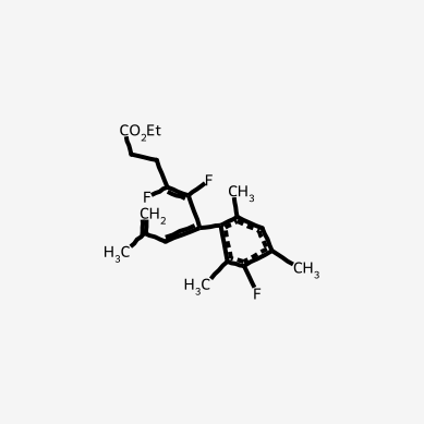 C=C(C)/C=C(\C(F)=C(/F)CCC(=O)OCC)c1c(C)cc(C)c(F)c1C